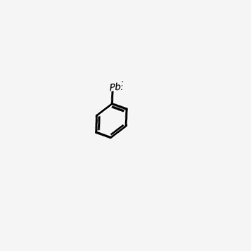 [Pb][c]1ccccc1